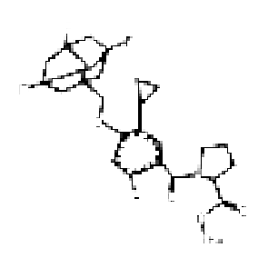 CC(C)(C)OC(=O)C1CCCN1C(=O)c1cc(C2CC2)c(OCC23CC4(F)CC(F)(CC(F)(C4)C2)C3)cc1F